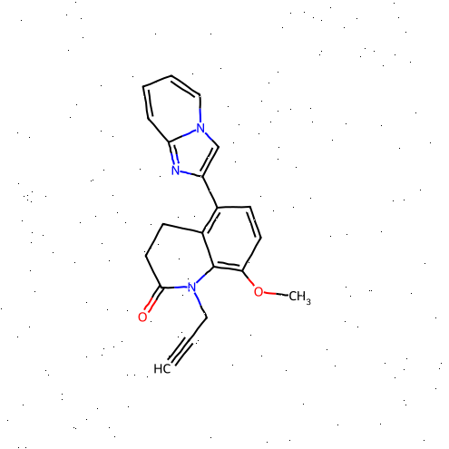 C#CCN1C(=O)CCc2c(-c3cn4ccccc4n3)ccc(OC)c21